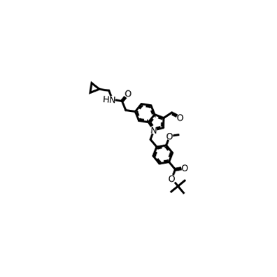 COc1cc(C(=O)OC(C)(C)C)ccc1Cn1cc(C=O)c2ccc(CC(=O)NCC3CC3)cc21